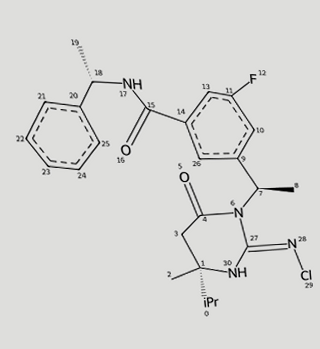 CC(C)[C@]1(C)CC(=O)N([C@H](C)c2cc(F)cc(C(=O)N[C@@H](C)c3ccccc3)c2)/C(=N/Cl)N1